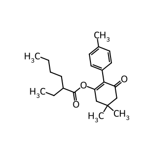 CCCCC(CC)C(=O)OC1=C(c2ccc(C)cc2)C(=O)CC(C)(C)C1